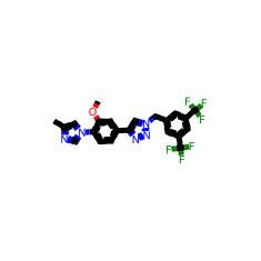 COc1cc(-c2cn(Cc3cc(C(F)(F)F)cc(C(F)(F)F)c3)nn2)ccc1-n1cnc(C)c1